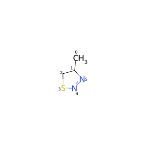 CC1CSN=N1